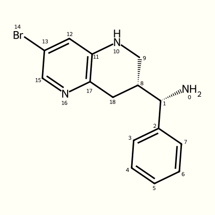 N[C@H](c1ccccc1)[C@H]1CNc2cc(Br)cnc2C1